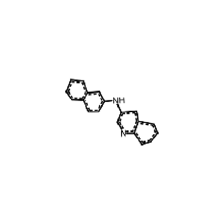 c1ccc2cc(Nc3cnc4ccccc4c3)ccc2c1